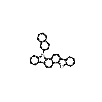 c1ccc2cc(-n3c4ccccc4c4ccc5c(ccc6c7ccccc7oc65)c43)ccc2c1